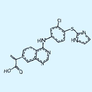 C=C(C(=O)O)c1ccc2c(Nc3ccc(Sc4ncc[nH]4)c(Cl)c3)ncnc2c1